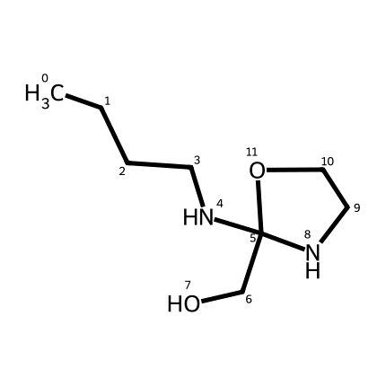 CCCCNC1(CO)NCCO1